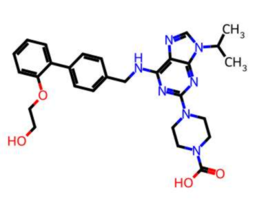 CC(C)n1cnc2c(NCc3ccc(-c4ccccc4OCCO)cc3)nc(N3CCN(C(=O)O)CC3)nc21